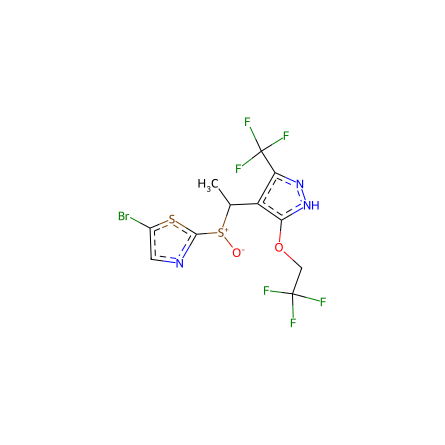 CC(c1c(C(F)(F)F)n[nH]c1OCC(F)(F)F)[S+]([O-])c1ncc(Br)s1